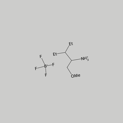 CCC(CC)C([NH3+])COC.F[B-](F)(F)F